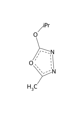 Cc1nnc(OC(C)C)o1